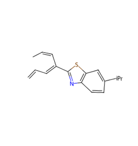 C=C/C=C(\C=C/C)c1nc2ccc(C(C)C)cc2s1